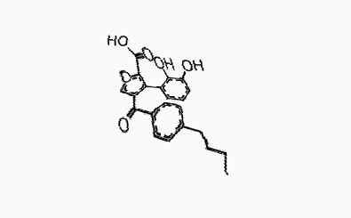 CCCCc1ccc(C(=O)c2coc(C(=O)O)c2-c2cccc(O)c2O)cc1